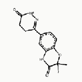 CC1(C)Oc2ccc(C3=NNC(=O)CC3)cc2NC1=O